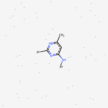 Cc1cc(NC(C)C)nc(C(C)C)n1